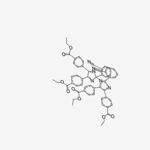 CCOC(=O)c1ccc(C2=NC(c3ccccc3C#N)(n3c(-c4ccccc4C#N)nc(-c4ccc(C(=O)OCC)cc4)c3-c3ccc(C(=O)OCC)cc3)N=C2c2ccc(C(=O)OCC)cc2)cc1